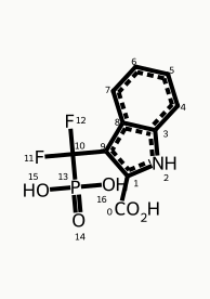 O=C(O)c1[nH]c2ccccc2c1C(F)(F)P(=O)(O)O